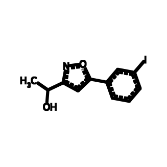 CC(O)c1cc(-c2cccc(I)c2)on1